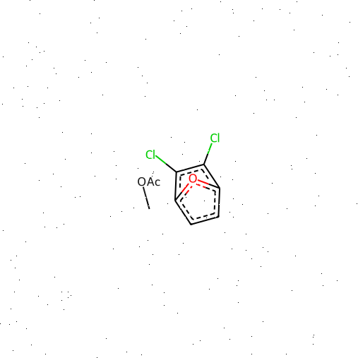 COC(C)=O.Clc1c(Cl)c2ccc1o2